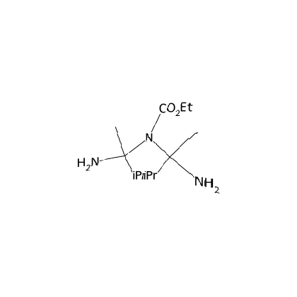 CCOC(=O)N(C(C)(N)C(C)C)C(C)(N)C(C)C